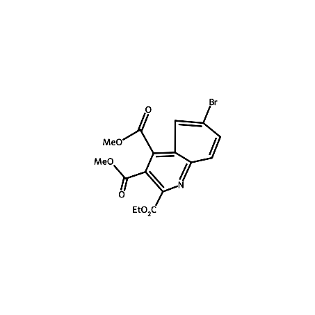 CCOC(=O)c1nc2ccc(Br)cc2c(C(=O)OC)c1C(=O)OC